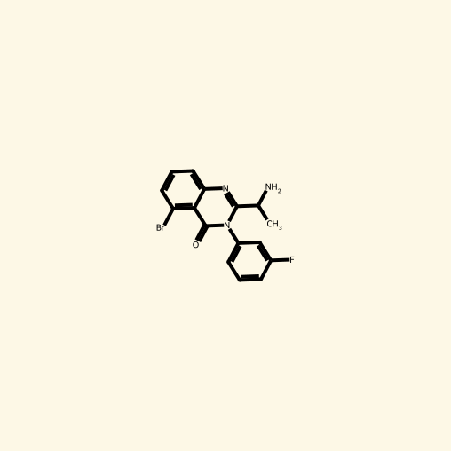 CC(N)c1nc2cccc(Br)c2c(=O)n1-c1cccc(F)c1